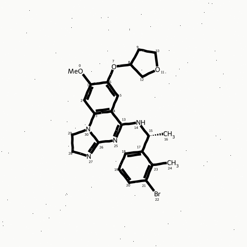 COc1cc2c(cc1OC1CCOC1)C(N[C@H](C)c1cccc(Br)c1C)=NC1=NCCN12